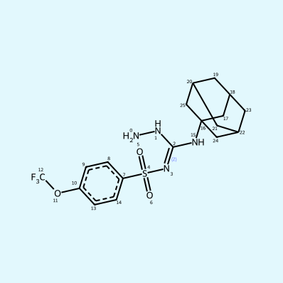 NN/C(=N\S(=O)(=O)c1ccc(OC(F)(F)F)cc1)NC12CC3CC(CC(C3)C1)C2